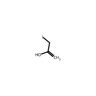 C=C(O)CI